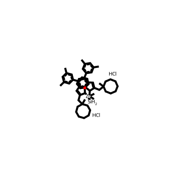 Cc1cc(C)cc(-c2cccc3c2C=C(CC2(C)CCCCCCC2)[CH]3[Zr]([CH3])([CH3])(=[SiH2])[CH]2C(CC3(C)CCCCCCC3)=Cc3c(-c4cc(C)cc(C)c4)cccc32)c1.Cl.Cl